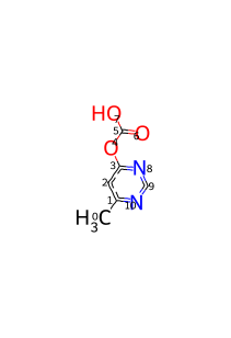 Cc1cc(OC(=O)O)ncn1